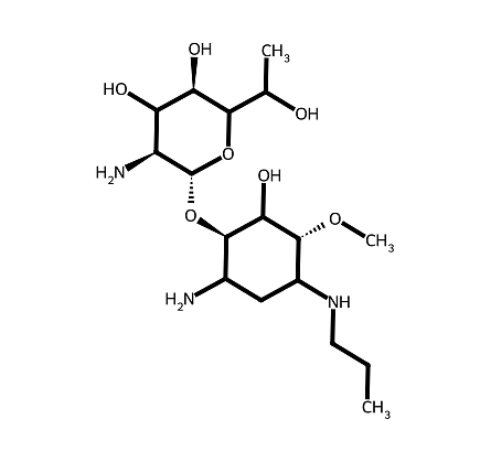 CCCNC1CC(N)[C@@H](O[C@H]2OC(C(C)O)[C@H](O)C(O)[C@@H]2N)C(O)[C@@H]1OC